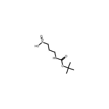 CC(C)(C)OC(=O)NCCC[PH](=O)O